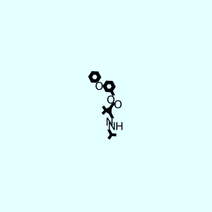 CC(C)CNN=CC1C(C(=O)OCc2cccc(Oc3ccccc3)c2)C1(C)C